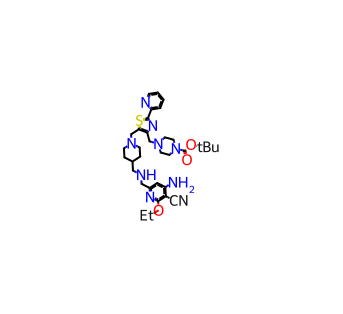 CCOc1nc(CNCC2CCN(Cc3sc(-c4ccccn4)nc3CN3CCN(C(=O)OC(C)(C)C)CC3)CC2)cc(N)c1C#N